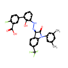 Cc1cc(C)cc(N2C(=O)C(=NNc3cccc(-c4ccc(F)c(C(=O)O)c4)c3O)c3ccc(C(F)(F)F)cc32)c1